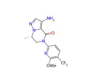 COc1nc(N2C[C@H](C)n3ncc(N)c3C2=O)ccc1C(F)(F)F